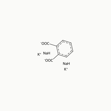 O=C([O-])c1ccccc1C(=O)[O-].[K+].[K+].[NaH].[NaH]